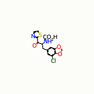 O=C(O)NC(Cc1cc(Cl)c2c(c1)OCO2)C(=O)c1nccs1